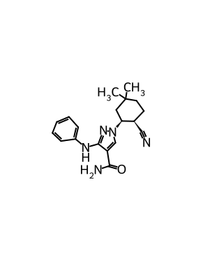 CC1(C)CC[C@@H](C#N)[C@@H](n2cc(C(N)=O)c(Nc3ccccc3)n2)C1